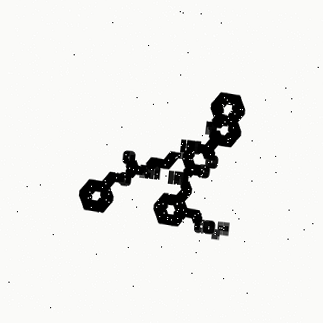 O=C(O)Cc1ccccc1CNC(=O)[C@H](CCCNC(=O)OCc1ccccc1)NC(=O)c1ccc2ccccc2n1